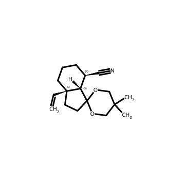 C=C[C@@]12CCC[C@@H](C#N)[C@@H]1C1(CC2)OCC(C)(C)CO1